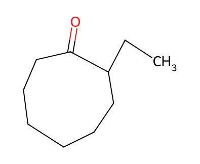 CCC1CCCCCCC1=O